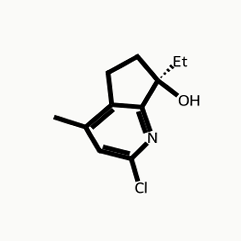 CC[C@@]1(O)CCc2c(C)cc(Cl)nc21